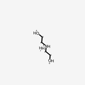 OCCNCCO.[HH]